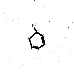 FC1C=CC=CC1